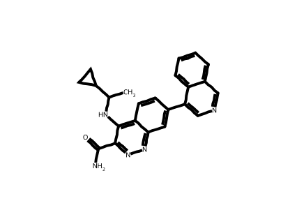 CC(Nc1c(C(N)=O)nnc2cc(-c3cncc4ccccc34)ccc12)C1CC1